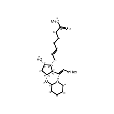 CCCCCCC=C[C@@H]1[C@@H](CC=CCCCC(=O)OC)[C@@H](O)C[C@H]1OC1CCCCO1